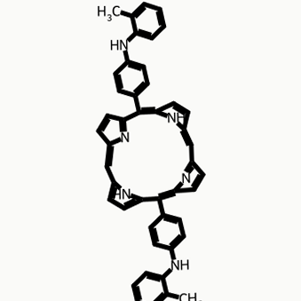 Cc1ccccc1Nc1ccc(-c2c3nc(cc4ccc([nH]4)c(-c4ccc(Nc5ccccc5C)cc4)c4nc(cc5ccc2[nH]5)C=C4)C=C3)cc1